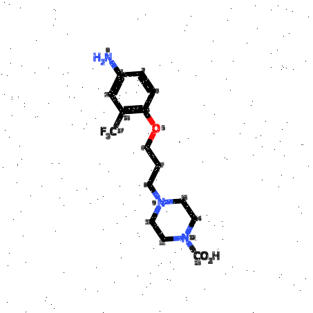 Nc1ccc(OCCCN2CCN(C(=O)O)CC2)c(C(F)(F)F)c1